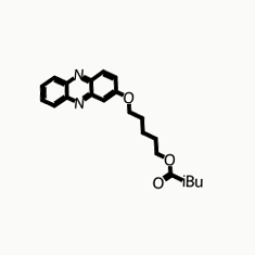 CCC(C)C(=O)OCCCCCOc1ccc2nc3ccccc3nc2c1